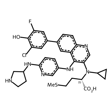 CSCC[C@@H](C(=O)O)N(c1cnc2ccc(-c3cc(F)c(O)c(Cl)c3)cc2c1Nc1ccc(NC2CCNC2)nc1)C1CC1